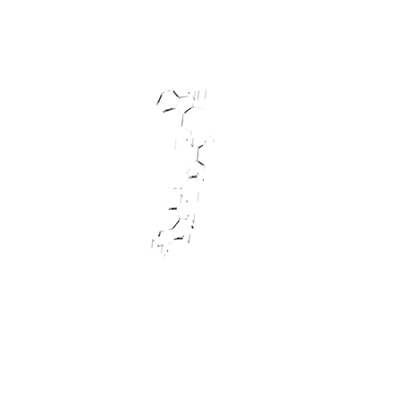 Cc1[nH]c2ccccc2c1CCNC(=O)c1cnc(C(C)NC(=O)c2ncnc3c2cnn3C)s1